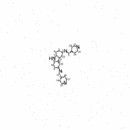 C(=Nc1ccc2[nH]c3ccc(N=Cc4ccncc4)cc3c2c1)c1ccncc1